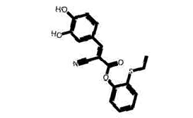 CCSc1ccccc1OC(=O)C(C#N)=Cc1ccc(O)c(O)c1